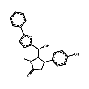 CN1C(=O)C[C@H](c2ccc(O)cc2)[C@@H]1[C@H](O)c1ccc(-c2ccccc2)s1